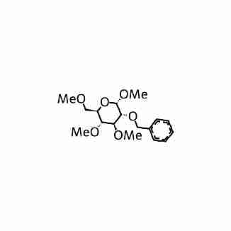 COC[C@H]1O[C@H](OC)[C@H](OCc2ccccc2)[C@@H](OC)[C@@H]1OC